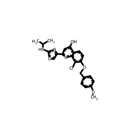 COc1ccc(COc2ccc3c(O)cc(-c4coc(NC(C)C)n4)nc3c2Cl)cc1